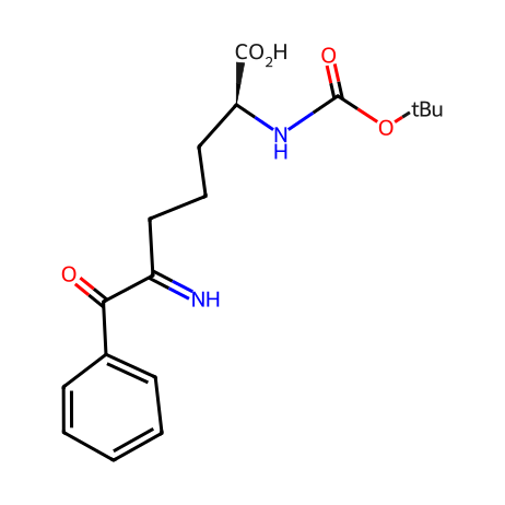 CC(C)(C)OC(=O)N[C@@H](CCCC(=N)C(=O)c1ccccc1)C(=O)O